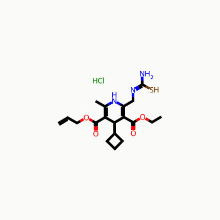 C=CCOC(=O)C1=C(C)NC(CN=C(N)S)=C(C(=O)OCC)C1C1CCC1.Cl